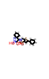 O=C(NO)C(c1ccccc1)N1Cc2sc(-c3ccccc3)cc2S1(=O)=O